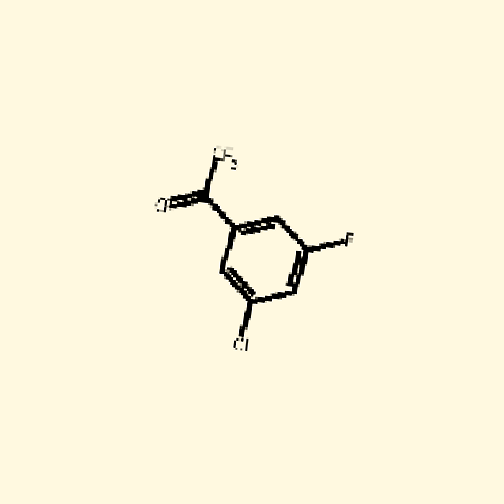 O=C(c1cc(F)cc(Cl)c1)C(F)(F)F